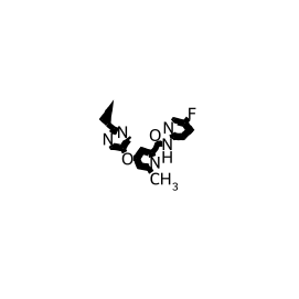 Cc1cc(Oc2cnc(C3CC3)nc2)cc(C(=O)Nc2ccc(F)cn2)n1